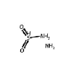 N.N[SH](=O)=O